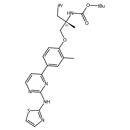 Cc1cc(-c2ccnc(Nc3nccs3)n2)ccc1OC[C@](C)(CC(C)C)NC(=O)OC(C)(C)C